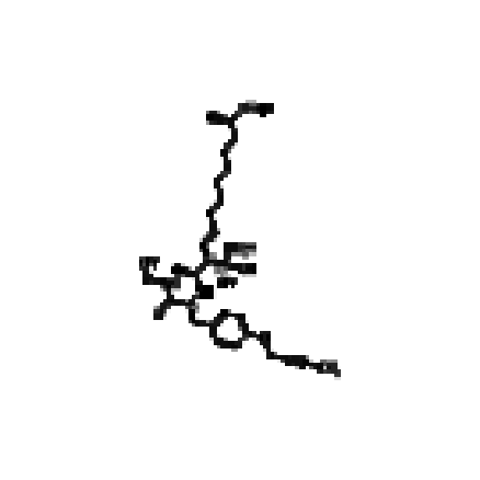 CC#CCOc1ccc(C[C@H](NC(=O)[C@@H](C=CCCCCCCC(=O)CCCCCCC)[C@@](O)(CCC)C(=O)O)C(=O)NOCCC)cc1